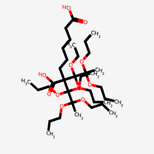 CCCOC(C)(OCCC)C(OCC)(OCCC)C(CCCCCC(=O)O)(C(=O)O)C(OCC)(OCCC)C(C)(OCCC)OCCC